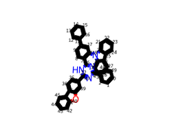 c1ccc(C2=NC(c3ccc(-c4ccccc4)cc3-n3c4ccccc4c4ccccc43)NC(c3ccc4c(c3)oc3ccccc34)=N2)cc1